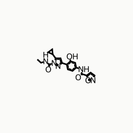 CCNC(=O)n1nc(-c2ccc(NC(=O)c3ccno3)cc2O)cc1C1CC1